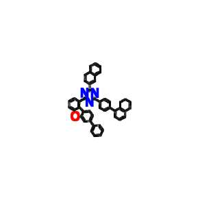 C1=Cc2cccc(-c3ccc(-c4nc(-c5ccc6ccccc6c5)nc(-c5cccc6oc7cc(-c8ccccc8)ccc7c56)n4)cc3)c2CC1